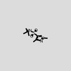 Cc1nn(C)cc1S(=O)(=O)NC(C)(C)C